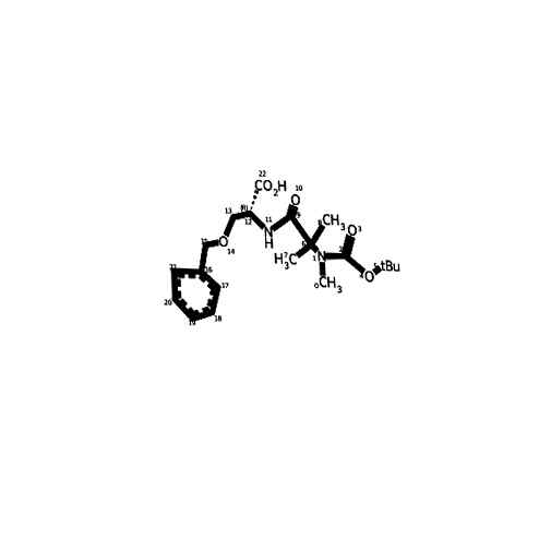 CN(C(=O)OC(C)(C)C)C(C)(C)C(=O)N[C@H](COCc1ccccc1)C(=O)O